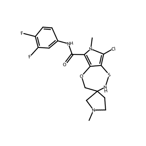 CN1CCC2(COc3c(c(Cl)n(C)c3C(=O)Nc3ccc(F)c(F)c3)SN2)C1